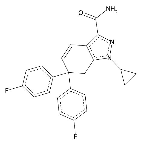 NC(=O)c1nn(C2CC2)c2c1C=CC(c1ccc(F)cc1)(c1ccc(F)cc1)C2